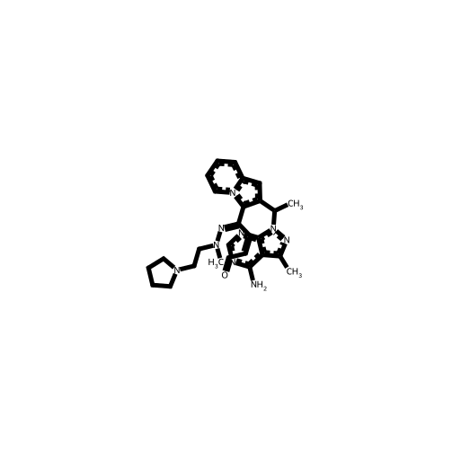 Cc1nn(C(C)c2cc3ccccn3c2C(/C=C\C=O)=N/N(C)CCN2CCCC2)c2ncnc(N)c12